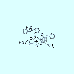 C=CCN1CC(=O)N2C(Cc3ccc(O)cc3)C(=O)N(Cc3ccccc3N(C)Cc3ccccc3)CC2N1C(=O)NCc1ccccc1